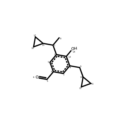 CC(c1cc(C=O)cc(CC2CC2)c1O)C1CC1